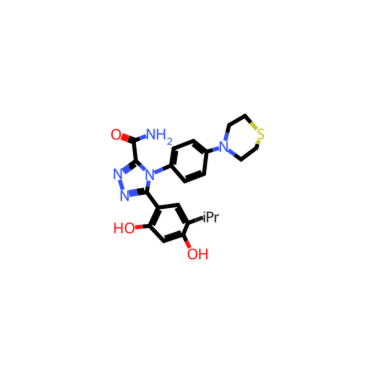 CC(C)c1cc(-c2nnc(C(N)=O)n2-c2ccc(N3CCSCC3)cc2)c(O)cc1O